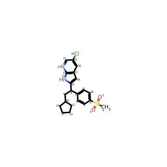 CS(=O)(=O)c1ccc(C(CC2CCCC2)c2cc3cc(Cl)cnc3[nH]2)cc1